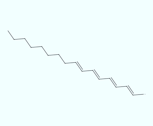 [CH2]/C=C/C=C/C=C/C=C/CCCCCCCC